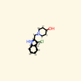 OC1CCN(Cc2[nH]c3ccccc3c2Cl)CC1